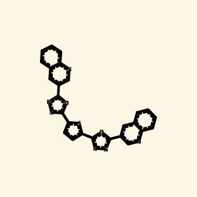 c1ccc2ncc(-c3nnc(-c4ccc(-c5nnc(-c6cnc7ccccc7c6)o5)s4)o3)cc2c1